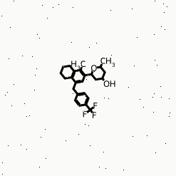 Cc1c(C2CC(O)CC(C)O2)cc(Cc2ccc(C(F)(F)F)cc2)c2c1CCCC2